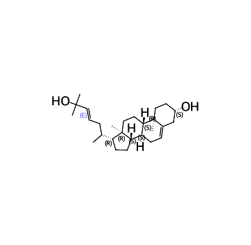 CC(C/C=C/C(C)(C)O)[C@H]1CC[C@H]2[C@@H]3CC=C4C[C@@H](O)CC[C@]4(C)[C@H]3CC[C@]12C